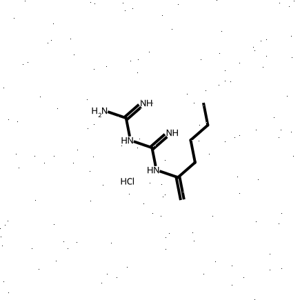 C=C(CCCC)NC(=N)NC(=N)N.Cl